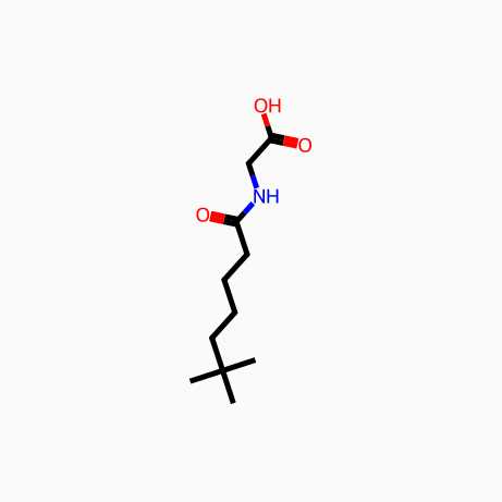 CC(C)(C)CCCCC(=O)NCC(=O)O